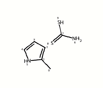 Cc1ccc[nH]1.NC(=S)S